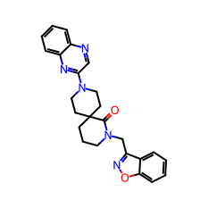 O=C1N(Cc2noc3ccccc23)CCCC12CCN(c1cnc3ccccc3n1)CC2